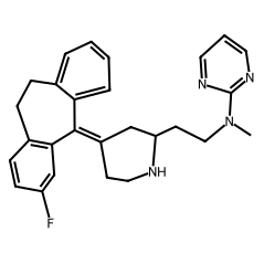 CN(CCC1CC(=C2c3ccccc3CCc3ccc(F)cc32)CCN1)c1ncccn1